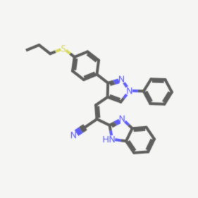 CCCSc1ccc(-c2nn(-c3ccccc3)cc2/C=C(/C#N)c2nc3ccccc3[nH]2)cc1